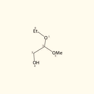 CCOC(CO)OC